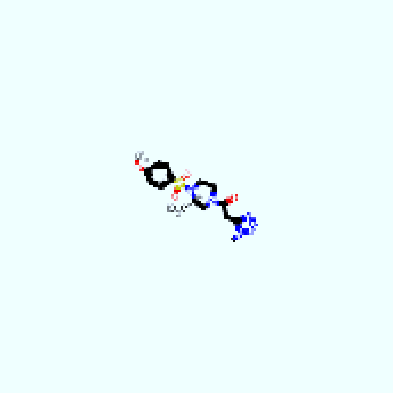 Cn1nnnc1CC(=O)N1CCN(S(=O)(=O)c2ccc(OC(F)(F)F)cc2)[C@@H](C(=O)O)C1